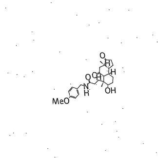 COc1ccc(CNC(=O)CC[C@@]2(C)C(O)CC[C@@H]3[C@@H]2C(=O)C[C@]2(C)C(=O)CC[C@@H]32)cc1